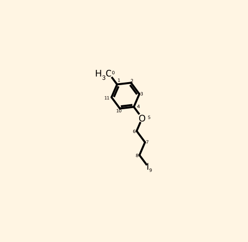 Cc1ccc(OCCCI)cc1